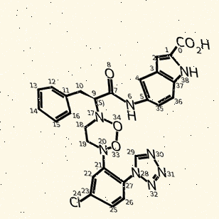 O=C(O)c1cc2cc(NC(=O)[C@H](Cc3ccccc3)N3CCN(c4cc(Cl)ccc4-n4cnnn4)OO3)ccc2[nH]1